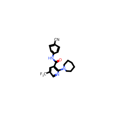 N#Cc1ccc(NC(=O)c2cc(C(F)(F)F)cnc2N2CCCCCC2)cc1